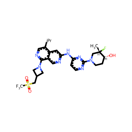 CC(C)c1cnc(N2CC(CS(=O)(=O)C(F)(F)F)C2)c2cnc(Nc3ccnc(N4CC[C@@H](O)[C@@](C)(F)C4)n3)cc12